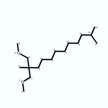 COCC(C)(CCCCCCCCC(C)C)COC